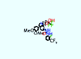 CCCN1CC[C@]2(c3ccc(OC)c(OC)c3)CC[C@@H](NC(=O)Nc3cccc(C(F)(F)F)c3F)C[C@H]12.O=C(O)C(F)(F)F